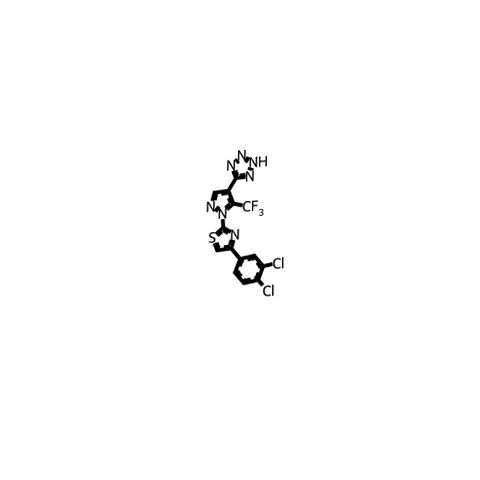 FC(F)(F)c1c(-c2nn[nH]n2)cnn1-c1nc(-c2ccc(Cl)c(Cl)c2)cs1